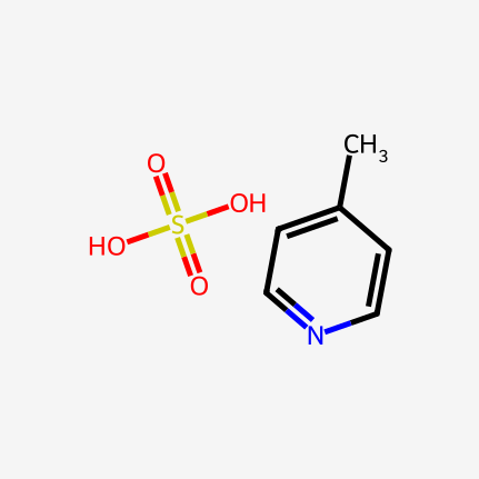 Cc1ccncc1.O=S(=O)(O)O